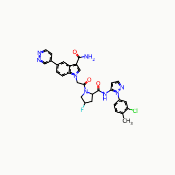 Cc1ccc(-n2nccc2NC(=O)C2CC(F)CN2C(=O)Cn2cc(C(N)=O)c3cc(-c4ccnnc4)ccc32)cc1Cl